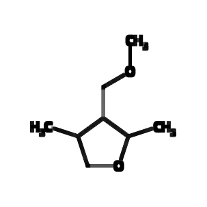 COCC1C(C)COC1C